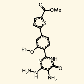 CCOc1cc(-c2ccc(C(=O)OC)s2)ccc1-c1nc(NN)c(N)c(=O)[nH]1